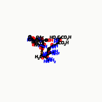 CCCC(=O)OCN(C(=O)[C@@H](NC(=O)[C@H]1CCCCN1C)C(C)CC)[C@H](C[C@@H](OC(C)=O)c1nc(C(=O)N[C@@H](Cc2ccc(O)cc2)C[C@H](C)C(=O)NNC(=O)OCCSSC[C@@H](C)NC(=O)[C@H](CCCNC(=N)N)NC(=O)[C@H](CCCNC(=N)N)NC(=O)Cc2ccc(CNC(=O)NCCCC[C@H](NC(=O)N[C@@H](CCC(=O)O)C(=O)O)C(=O)O)cc2)cs1)C(C)C